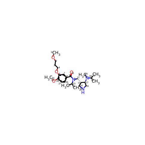 COCCCOc1cc(C(=O)N(C[C@H]2CNC[C@@H]2N(C)C(C)C)C(C)C)ccc1OC